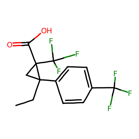 CCC1(c2ccc(C(F)(F)F)cc2)CC1(C(=O)O)C(F)(F)F